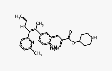 C=CN/C(=C(\C)c1ccc(=C)/c(=C\C(=C/C)C(=O)OC2CCNCC2)c1)c1cccc(C)n1